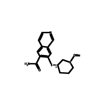 CON1CCC[C@H](Sc2cc3cnccc3cc2C(N)=O)C1